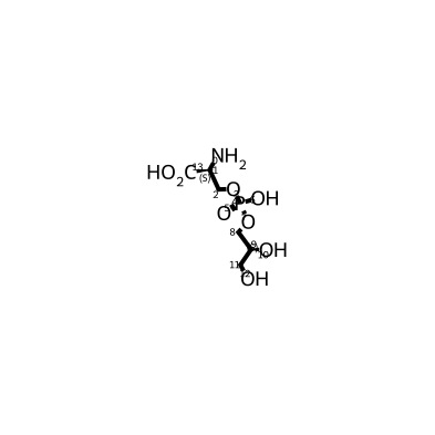 N[C@@H](COP(=O)(O)OC[C@@H](O)CO)C(=O)O